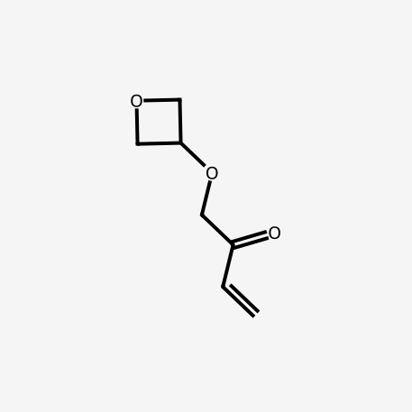 C=CC(=O)COC1COC1